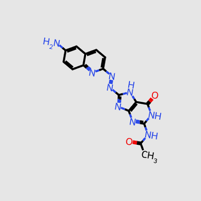 CC(=O)Nc1nc2nc(N=Nc3ccc4cc(N)ccc4n3)[nH]c2c(=O)[nH]1